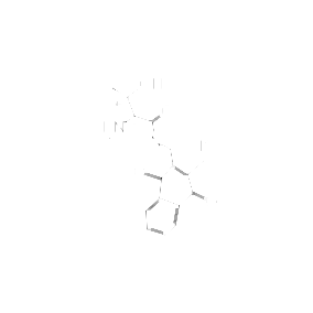 CC1=C(CNC(=O)[C@@H](N)[C@@H](C)O)C(=O)c2ccccc2C1=O.Cl